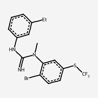 CCc1cccc(NC(=N)N(C)c2cc(SC(F)(F)F)ccc2Br)c1